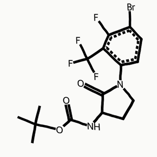 CC(C)(C)OC(=O)NC1CCN(c2ccc(Br)c(F)c2C(F)(F)F)C1=O